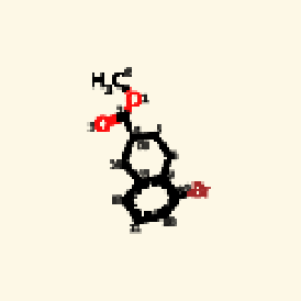 COC(=O)[C@H]1CCc2c(Br)cccc2C1